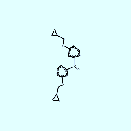 [O-][S+](c1cccc(OCC2CO2)c1)c1cccc(OCC2CO2)c1